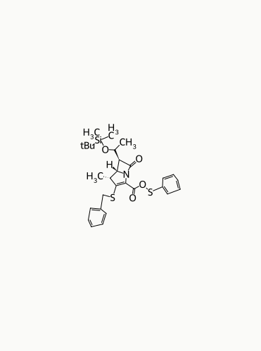 CC(O[Si](C)(C)C(C)(C)C)[C@H]1C(=O)N2C(C(=O)OSc3ccccc3)=C(SCc3ccccc3)[C@H](C)[C@H]12